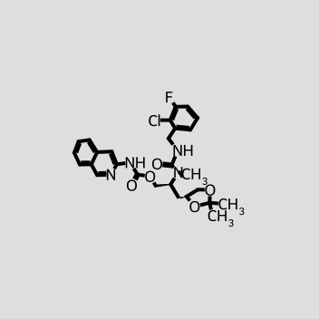 CN(C(=O)NCc1cccc(F)c1Cl)[C@H](COC(=O)Nc1cc2ccccc2cn1)C[C@@H]1COC(C)(C)O1